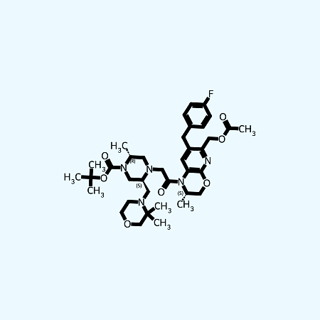 CC(=O)OCc1nc2c(cc1Cc1ccc(F)cc1)N(C(=O)CN1C[C@@H](C)N(C(=O)OC(C)(C)C)C[C@@H]1CN1CCOCC1(C)C)[C@@H](C)CO2